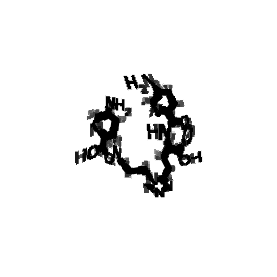 N#CCCn1nnnc1CCC(NC(=O)c1ccc(N)cn1)C(=O)O.Nc1ccc(C(=O)O)nc1